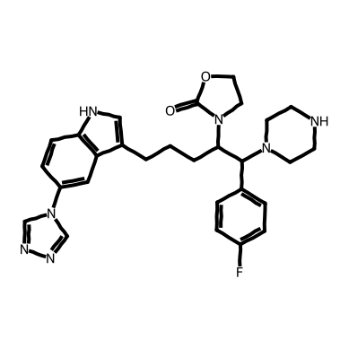 O=C1OCCN1C(CCCc1c[nH]c2ccc(-n3cnnc3)cc12)C(c1ccc(F)cc1)N1CCNCC1